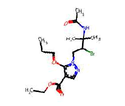 CCCOc1c(C(=O)OCC)cnn1CC(Br)C(C)(C)NC(C)=O